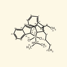 CCCCC1=Cc2ccccc2[CH]1[Ti]([Cl])([Cl])([CH]1C(CCCC)=Cc2ccccc21)[SiH](C)C